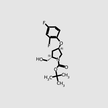 CC(C)(C)OC(=O)N1C[C@H](Oc2ccc(F)cc2F)C[C@H]1CO